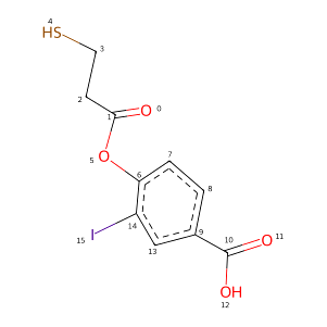 O=C(CCS)Oc1ccc(C(=O)O)cc1I